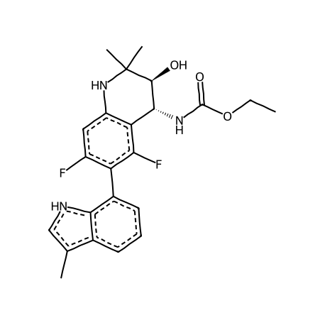 CCOC(=O)N[C@@H]1c2c(cc(F)c(-c3cccc4c(C)c[nH]c34)c2F)NC(C)(C)[C@H]1O